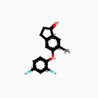 O=C1CCc2cc(Oc3ccc(F)cc3F)c([N+](=O)[O-])cc21